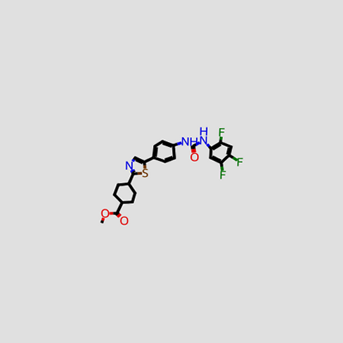 COC(=O)C1CCC(c2ncc(-c3ccc(NC(=O)Nc4cc(F)c(F)cc4F)cc3)s2)CC1